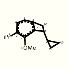 COc1c(C(C)C)ccc2c1C(C1CC1)C2